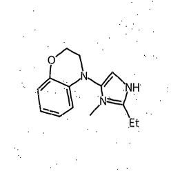 CCc1[nH]cc(N2CCOc3ccccc32)[n+]1C